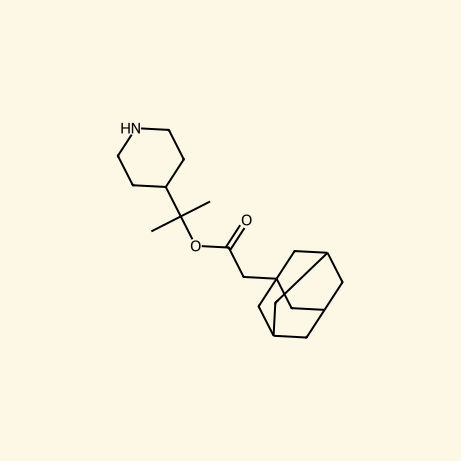 CC(C)(OC(=O)CC12CC3CC(CC(C3)C1)C2)C1CCNCC1